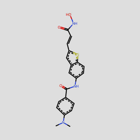 CN(C)c1ccc(C(=O)Nc2ccc3sc(C=CC(=O)NO)cc3c2)cc1